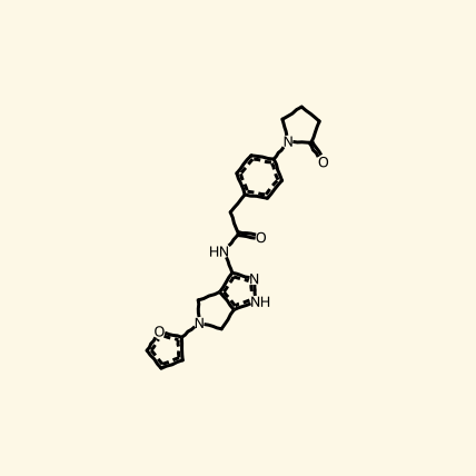 O=C(Cc1ccc(N2CCCC2=O)cc1)Nc1n[nH]c2c1CN(c1ccco1)C2